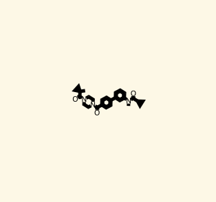 CN(C(=O)C1CC1)c1cccc(-c2ccc(C(=O)N3CCN(C(=O)C4(C)CC4)CC3)cc2)c1